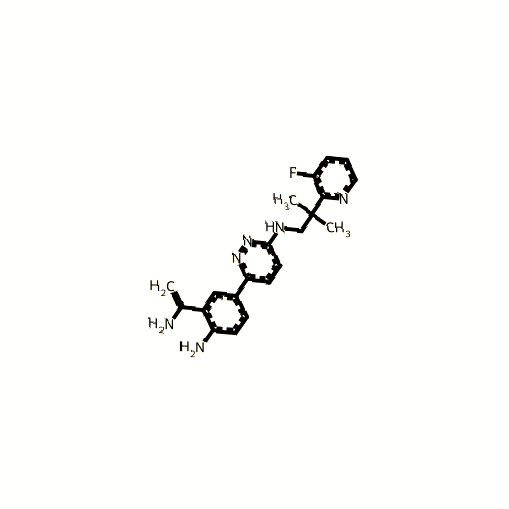 C=C(N)c1cc(-c2ccc(NCC(C)(C)c3ncccc3F)nn2)ccc1N